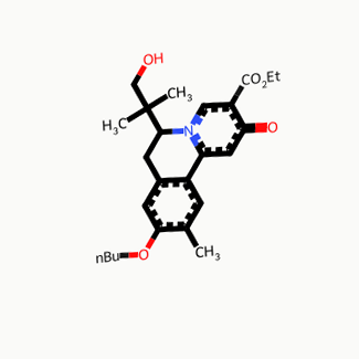 CCCCOc1cc2c(cc1C)-c1cc(=O)c(C(=O)OCC)cn1C(C(C)(C)CO)C2